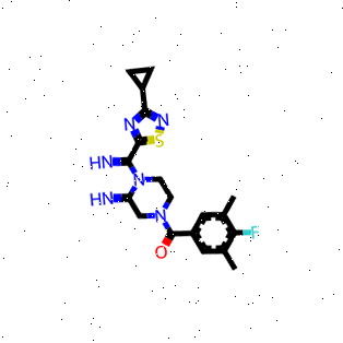 Cc1cc(C(=O)N2CCN(C(=N)c3nc(C4CC4)ns3)C(=N)C2)cc(C)c1F